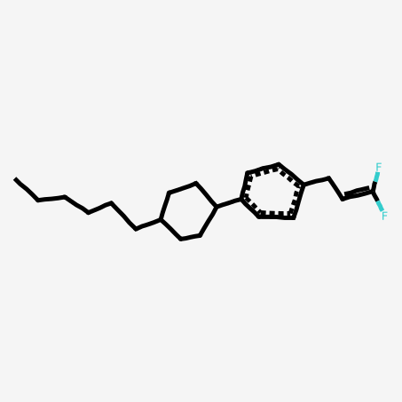 CCCCCCC1CCC(c2ccc(CC=C(F)F)cc2)CC1